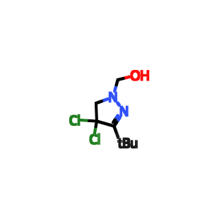 CC(C)(C)C1=NN(CO)CC1(Cl)Cl